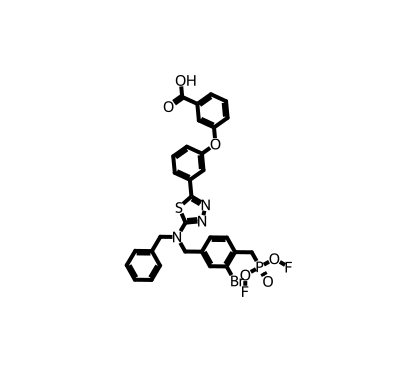 O=C(O)c1cccc(Oc2cccc(-c3nnc(N(Cc4ccccc4)Cc4ccc(CP(=O)(OF)OF)c(Br)c4)s3)c2)c1